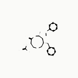 C[C@@H]1OC(=O)[C@@H](NC(=O)O)COC[C@H](Cc2ccccc2)[C@H]1COc1ccccc1